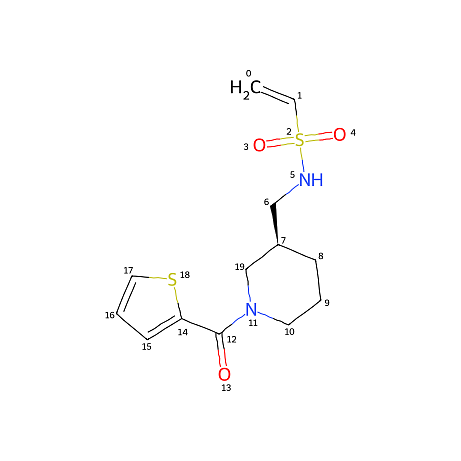 C=CS(=O)(=O)NC[C@H]1CCCN(C(=O)c2cccs2)C1